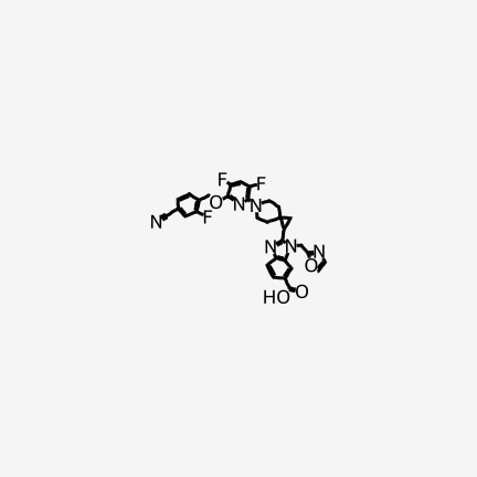 N#Cc1ccc(COc2nc(N3CCC4(CC3)CC4c3nc4ccc(C(=O)O)cc4n3Cc3ncco3)c(F)cc2F)c(F)c1